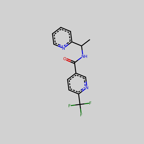 CC(NC(=O)c1ccc(C(F)(F)F)nc1)c1ccccn1